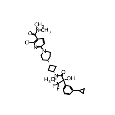 CN(C)C(=O)c1ccc(N2CCC([C@H]3C[C@@H](N(C)C(=O)[C@](O)(c4cccc(C5CC5)c4)C(F)(F)F)C3)CC2)nc1Cl